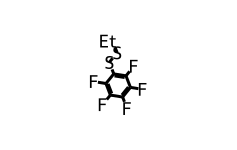 CCSSc1c(F)c(F)c(F)c(F)c1F